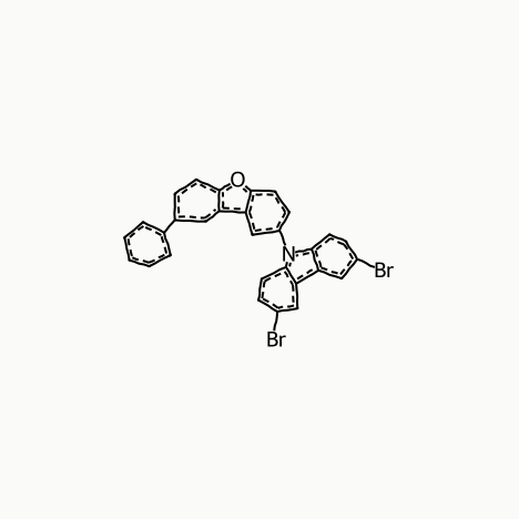 Brc1ccc2c(c1)c1cc(Br)ccc1n2-c1ccc2oc3ccc(-c4ccccc4)cc3c2c1